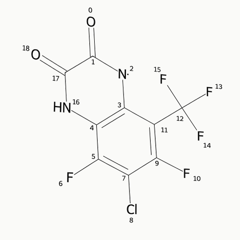 O=C1[N]c2c(c(F)c(Cl)c(F)c2C(F)(F)F)NC1=O